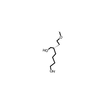 [CH2]OCC[C@@H](CO)CCCCO